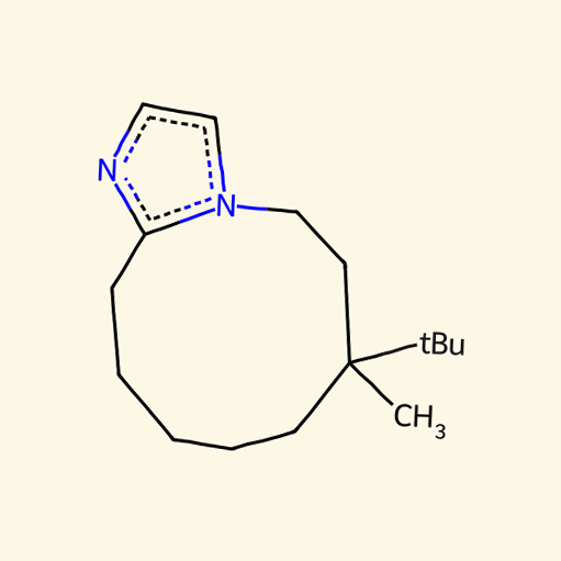 CC(C)(C)C1(C)CCCCCc2nccn2CC1